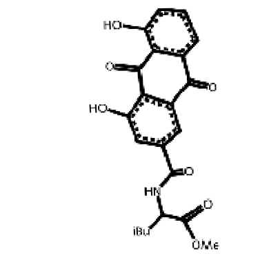 CCC(C)C(NC(=O)c1cc(O)c2c(c1)C(=O)c1cccc(O)c1C2=O)C(=O)OC